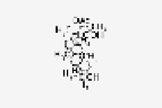 CC(=O)OC(CCC(C)C1CC[C@@]2(C)C3=C(CC[C@]12C)[C@@]1(C)CC[C@H](O)C(C)(C)[C@@H]1CC3)C(C)(C)O